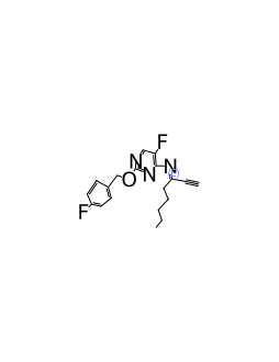 C#C/C(CCCCC)=N/c1nc(OCc2ccc(F)cc2)ncc1F